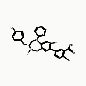 CN1Sc2cc(-c3ccc(F)c(C(=O)O)c3)c(F)cc2N(c2ccccc2)C[C@@H]1Cc1ccc(Cl)cc1